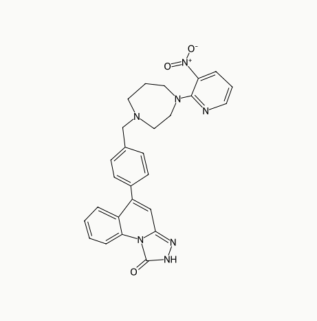 O=c1[nH]nc2cc(-c3ccc(CN4CCCN(c5ncccc5[N+](=O)[O-])CC4)cc3)c3ccccc3n12